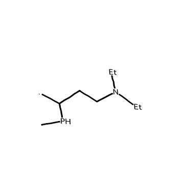 [CH2]C(CCN(CC)CC)PC